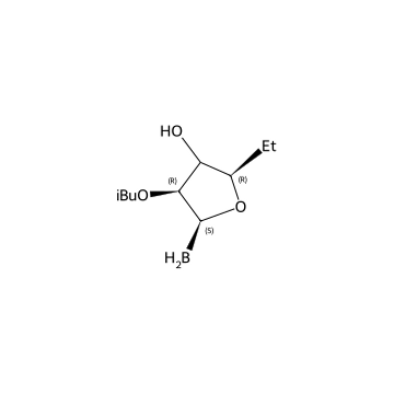 B[C@@H]1O[C@H](CC)C(O)[C@@H]1OCC(C)C